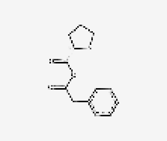 O=C(Cc1ccccc1)OC(=O)[C@@H]1CCCN1